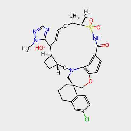 C[C@@H]1[C@@H](C)C/C=C/[C@](O)(c2ncnn2C)[C@@H]2CC[C@H]2CN2C[C@@]3(CCCc4cc(Cl)ccc43)COc3ccc(cc32)C(=O)NS1(=O)=O